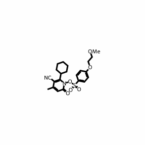 COCCOc1ccc(S(=O)(=O)On2c(C3CCCCC3)c(C#N)c(C)cc2=O)cc1